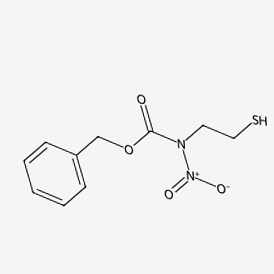 O=C(OCc1ccccc1)N(CCS)[N+](=O)[O-]